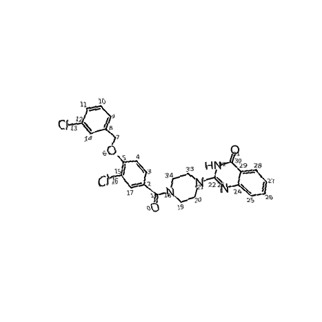 O=C(c1ccc(OCc2cccc(Cl)c2)c(Cl)c1)N1CCN(c2nc3ccccc3c(=O)[nH]2)CC1